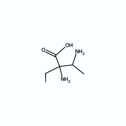 CCC(N)(C(=O)O)C(C)N